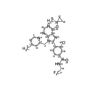 Cc1ccnc(Cn2c(-c3ccc(C(=O)NCC(F)(F)F)cc3Cl)nc3c(OC4(C)CC4)ncnc32)c1